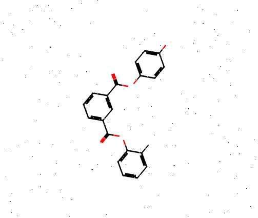 O=C(Oc1ccc(O)cc1)c1cccc(C(=O)Oc2ccccc2C(=O)O)c1